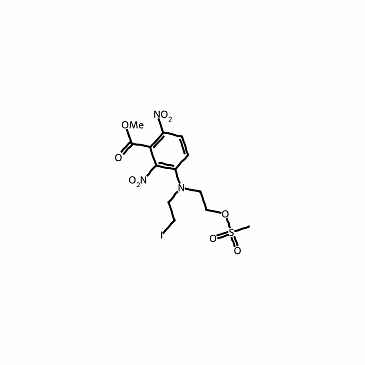 COC(=O)c1c([N+](=O)[O-])ccc(N(CCI)CCOS(C)(=O)=O)c1[N+](=O)[O-]